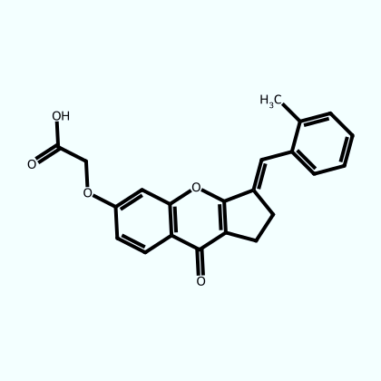 Cc1ccccc1/C=C1\CCc2c1oc1cc(OCC(=O)O)ccc1c2=O